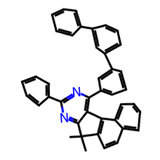 CC1(C)c2ccc3ccccc3c2-c2c(-c3cccc(-c4cccc(-c5ccccc5)c4)c3)nc(-c3ccccc3)nc21